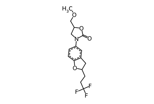 COCC1CN(c2ccc3c(c2)CC(CCC(F)(F)F)O3)C(=O)O1